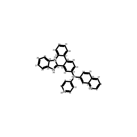 c1cnc2cc(P(c3ccncc3)c3ccc4c5ccccc5n5c6ccccc6nc5c4c3)ccc2c1